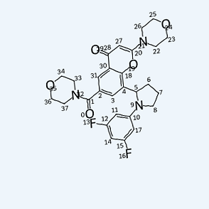 O=C(c1cc(C2CCCN2c2cc(F)cc(F)c2)c2oc(N3CCOCC3)cc(=O)c2c1)N1CCOCC1